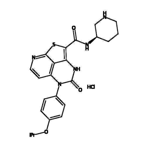 CC(C)Oc1ccc(N2C(=O)Nc3c(C(=O)N[C@@H]4CCCNC4)sc4nccc2c34)cc1.Cl